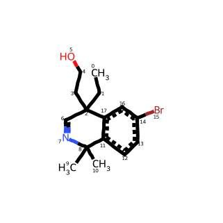 CCC1(CCO)C=NC(C)(C)c2ccc(Br)cc21